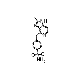 Cc1nc2c(Cc3ccc(S(N)(=O)=O)cc3)nccc2[nH]1